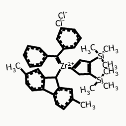 Cc1ccc2c(c1)[CH]([Zr+2]([C]1=CC([Si](C)(C)C)=C([Si](C)(C)C)C1)=[C](c1ccccc1)c1ccccc1)c1cc(C)ccc1-2.[Cl-].[Cl-]